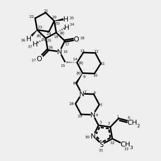 C=Cc1c(N2CCN(C[C@@H]3CCCC[C@H]3CN3C(=O)[C@@H]4[C@H]5CC[C@H](C5)[C@@H]4C3=O)CC2)nsc1C